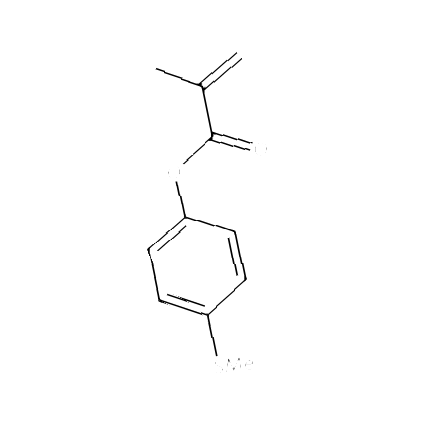 C=C(C)C(=O)Oc1ccc(SC)cc1